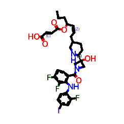 CCCC(/C=C\CC1CC[C@@H](C2(O)CN(C(=O)c3ccc(F)c(F)c3Nc3ccc(I)cc3F)C2)NC1)OC(=O)/C=C/C(=O)O